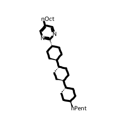 CCCCCCCCc1cnc([C@H]2CC[C@H]([C@H]3CC[C@H]([C@H]4CC[C@H](CCCCC)CC4)CC3)CC2)nc1